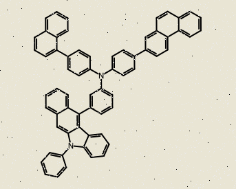 c1ccc(-n2c3ccccc3c3c(-c4cccc(N(c5ccc(-c6ccc7c(ccc8ccccc87)c6)cc5)c5ccc(-c6cccc7ccccc67)cc5)c4)c4ccccc4cc32)cc1